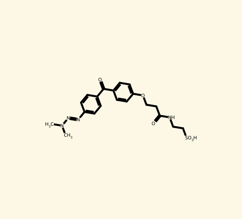 CN(C)/N=N/c1ccc(C(=O)c2ccc(OCCC(=O)NCCS(=O)(=O)O)cc2)cc1